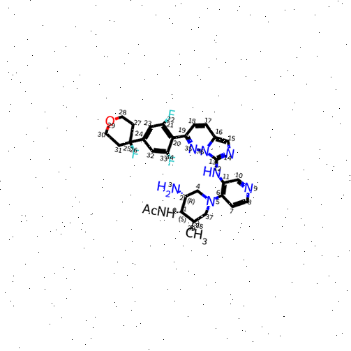 CC(=O)N[C@@H]1[C@H](N)CN(c2ccncc2Nc2ncc3ccc(-c4c(F)cc(C5(F)CCOCC5)cc4F)nn23)C[C@@H]1C